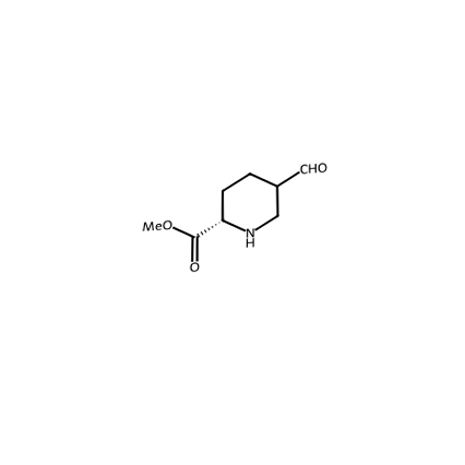 COC(=O)[C@@H]1CCC(C=O)CN1